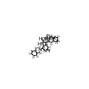 Cc1[nH]c2c(N3CCc4ccccc4C3)nccc2c1C(Cc1ccccc1)[N+](C)(C)C.[I-]